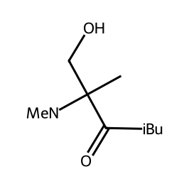 CCC(C)C(=O)C(C)(CO)NC